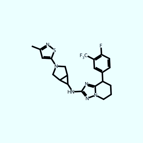 Cc1cc(N2CC3C(C2)C3Nc2nc3n(n2)CCCC3c2ccc(F)c(C(F)(F)F)c2)sn1